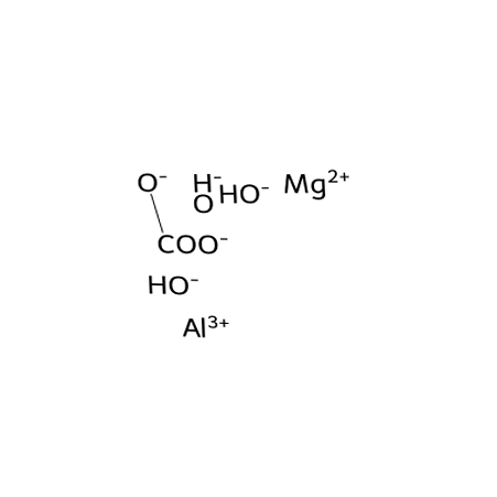 O=C([O-])[O-].[Al+3].[Mg+2].[OH-].[OH-].[OH-]